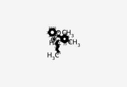 CCCCCCP(=O)(C(=O)c1c(C)cc(C)cc1C)C1CCCCC1